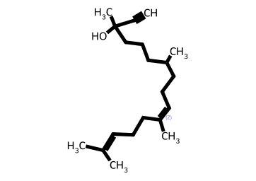 C#CC(C)(O)CCCC(C)CC/C=C(/C)CCC=C(C)C